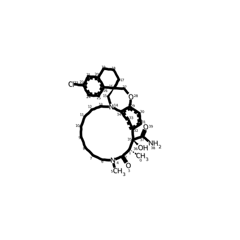 C[C@@H]1C(=O)N(C)CCCCCCCCN2C[C@@]3(CCCc4cc(Cl)ccc43)COc3ccc(cc32)[C@]1(O)C(N)=O